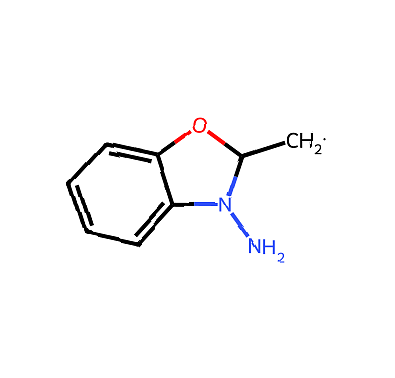 [CH2]C1Oc2ccccc2N1N